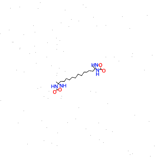 CC1(CCCCCCCCCCCCC2(C)NOC(=O)N2)NOC(=O)N1